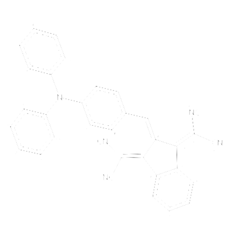 [C-]#[N+]/C(C#N)=C1\C(=Cc2ccc(N(c3ccccc3)c3ccccc3)cc2)/C(=C(/C#N)[N+]#[C-])c2ccccc21